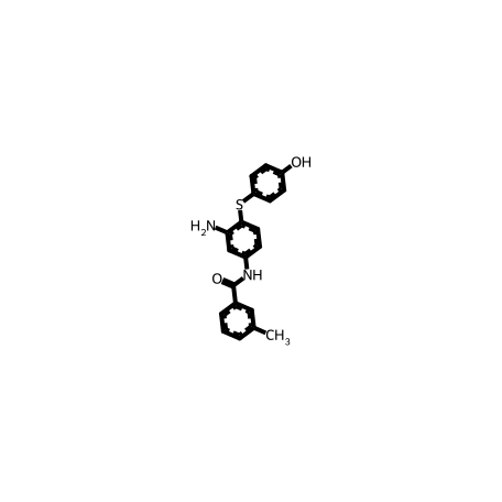 Cc1cccc(C(=O)Nc2ccc(Sc3ccc(O)cc3)c(N)c2)c1